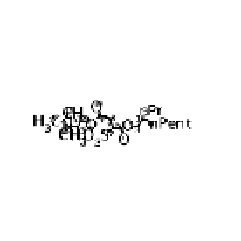 CCCCCC(CCC)COC(=O)C(CC(=O)OCC[N+](C)(C)C)S(=O)(=O)O